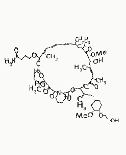 CO[C@@H]1C[C@H](C[C@@H](C)[C@@H]2CC(=O)[C@H](C)/C=C(\C)[C@@H](O)[C@@H](OC)C(=O)[C@H](C)C[C@H](C)/C=C/C=C/C=C(\C)[C@H](OCCCC(N)=O)C[C@@H]3CC[C@@H](C)[C@@](O)(O3)C(=O)C(=O)N3CCCC[C@H]3C(=O)O2)CC[C@H]1OCCO